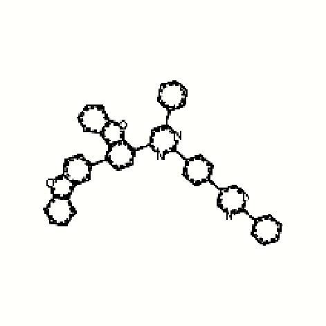 c1ccc(-c2cc(-c3ccc(-c4ccc5oc6ccccc6c5c4)c4c3oc3ccccc34)nc(-c3ccc(-c4cnc(-c5ccccc5)nc4)cc3)n2)cc1